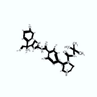 CC(C)(C)OC(=O)N1CCNCC1c1cc(F)c(C(=O)Nc2nc(C(C)(C=O)c3ccc(Cl)cc3)c[nH]2)c(F)c1